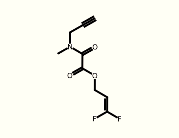 C#CCN(C)C(=O)C(=O)OCC=C(F)F